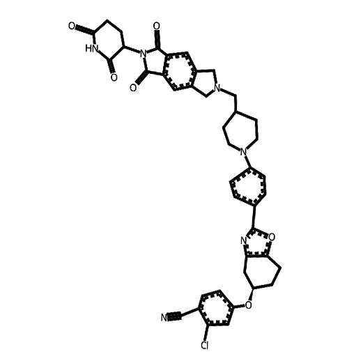 N#Cc1ccc(O[C@@H]2CCc3oc(-c4ccc(N5CCC(CN6Cc7cc8c(cc7C6)C(=O)N(C6CCC(=O)NC6=O)C8=O)CC5)cc4)nc3C2)cc1Cl